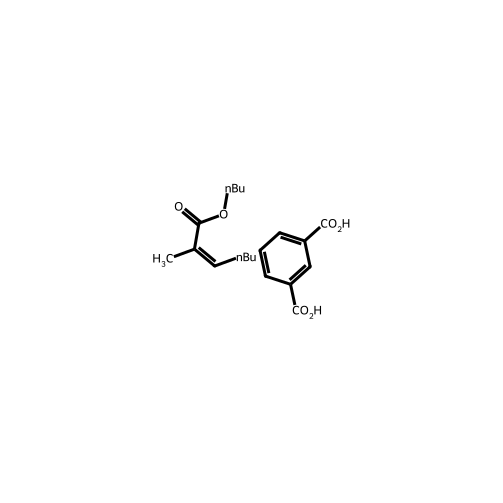 CCCCC=C(C)C(=O)OCCCC.O=C(O)c1cccc(C(=O)O)c1